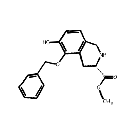 COC(=O)[C@@H]1Cc2c(ccc(O)c2OCc2ccccc2)CN1